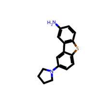 Nc1ccc2sc3ccc(N4CCCC4)cc3c2c1